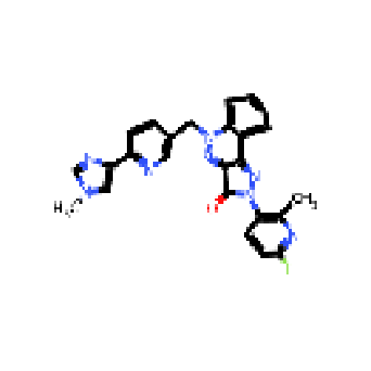 Cc1nc(F)ccc1-n1nc2c3ccccc3n(Cc3ccc(-c4cn(C)cn4)nc3)nc-2c1=O